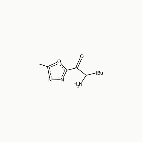 Cc1nnc(C(=O)C(N)C(C)(C)C)o1